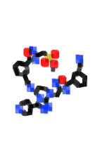 COS(=O)(=O)Cc1noc(-c2cccc(C#N)c2)n1.N#Cc1cccc(-c2nc(CN3CCCn4c(-c5ccncc5)nnc43)no2)c1